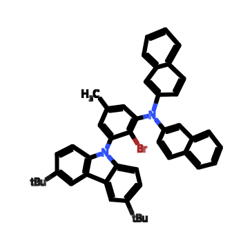 Cc1cc(N(c2ccc3ccccc3c2)c2ccc3ccccc3c2)c(Br)c(-n2c3ccc(C(C)(C)C)cc3c3cc(C(C)(C)C)ccc32)c1